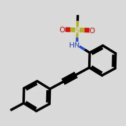 Cc1ccc(C#Cc2ccccc2NS(C)(=O)=O)cc1